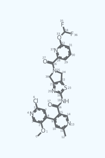 COc1cnc(Cl)cc1-c1cc(C)ncc1C(=O)Nc1nc2c(s1)CN(C(=O)c1cccc(OC(F)F)n1)C2